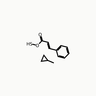 CC1CC1.O=C(C=Cc1ccccc1)OS